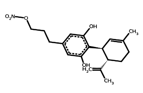 C=C(C)[C@H]1CCC(C)=C[C@@H]1c1c(O)cc(CCCO[N+](=O)[O-])cc1O